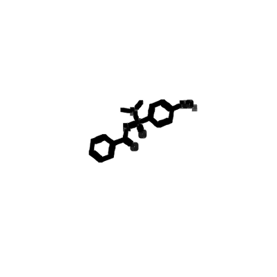 CN(C)S(=O)(=NC(=O)c1ccccc1)c1ccc([N+](=O)[O-])cc1